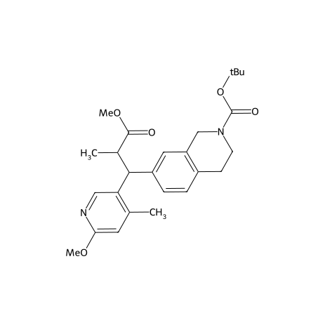 COC(=O)C(C)C(c1ccc2c(c1)CN(C(=O)OC(C)(C)C)CC2)c1cnc(OC)cc1C